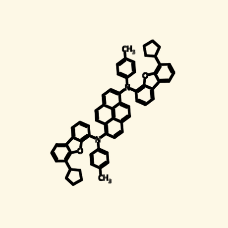 Cc1ccc(N(c2ccc3ccc4c(N(c5ccc(C)cc5)c5cccc6c5oc5c(C7CCCC7)cccc56)ccc5ccc2c3c54)c2cccc3c2oc2c(C4CCCC4)cccc23)cc1